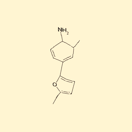 Cc1ccc(C2=CC(C)C(N)C=C2)o1